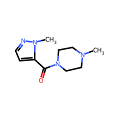 CN1CCN(C(=O)c2ccnn2C)CC1